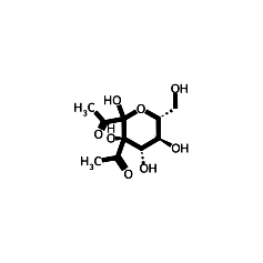 CC(=O)C1(O)O[C@H](CO)[C@@H](O)[C@H](O)[C@]1(O)C(C)=O